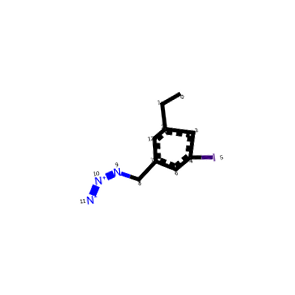 CCc1cc(I)cc(CN=[N+]=[N-])c1